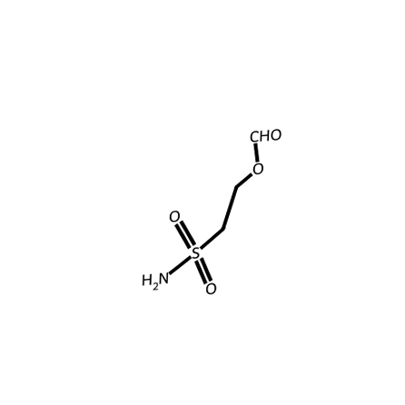 NS(=O)(=O)CCOC=O